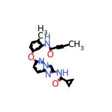 CC#CC(=O)Nc1cc(Oc2ccc3nc(NC(=O)C4CC4)cn3n2)ccc1C